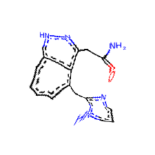 NC(=O)c1n[nH]c2cccc(-c3ncc[nH]3)c12